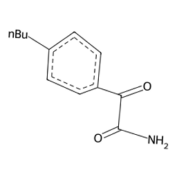 CCCCc1ccc(C(=O)C(N)=O)cc1